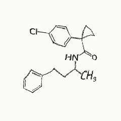 CC(CCc1ccccc1)NC(=O)C1(c2ccc(Cl)cc2)CC1